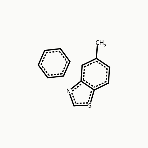 Cc1ccc2scnc2c1.c1ccccc1